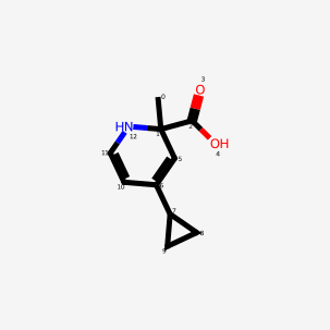 CC1(C(=O)O)C=C(C2CC2)C=CN1